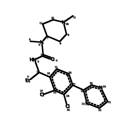 CCC(NC(=O)N(C)C1CCN(C)CC1)c1ccc(-c2cnccn2)c(Cl)c1Cl